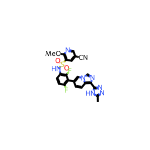 COc1ncc(C#N)cc1S(=O)(=O)Nc1ccc(F)c(-c2ccc3c(-c4nnc(C)[nH]4)ncn3c2)c1F